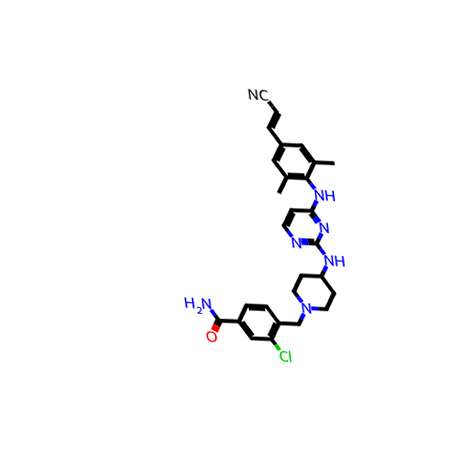 Cc1cc(/C=C/C#N)cc(C)c1Nc1ccnc(NC2CCN(Cc3ccc(C(N)=O)cc3Cl)CC2)n1